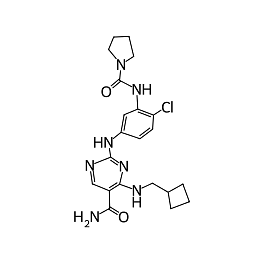 NC(=O)c1cnc(Nc2ccc(Cl)c(NC(=O)N3CCCC3)c2)nc1NCC1CCC1